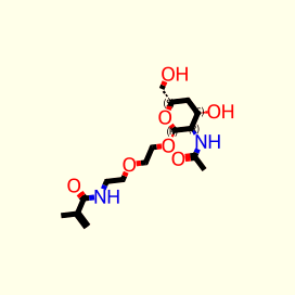 C=C(C)C(=O)NCCOCCO[C@@H]1O[C@H](CO)C[C@H](O)[C@H]1NC(C)=O